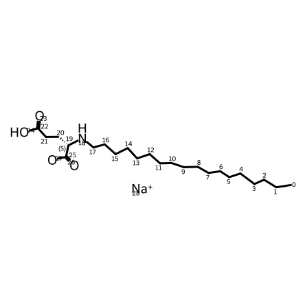 CCCCCCCCCCCCCCCCCCN[C@@H](CCC(=O)O)C(=O)[O-].[Na+]